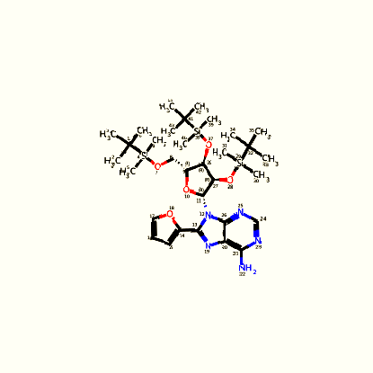 CC(C)(C)[Si](C)(C)OC[C@H]1O[C@@H](n2c(-c3ccco3)nc3c(N)ncnc32)[C@H](O[Si](C)(C)C(C)(C)C)[C@@H]1O[Si](C)(C)C(C)(C)C